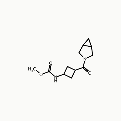 COC(=O)NC1CC(C(=O)N2CC3CC3C2)C1